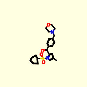 Cc1cc(C(=O)c2ccc(CN3CCOCC3)cc2)n(S(=O)(=O)c2ccccc2)c1